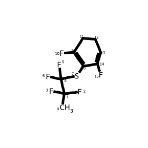 CC(F)(F)C(F)(F)SC1=C(F)CCC=C1F